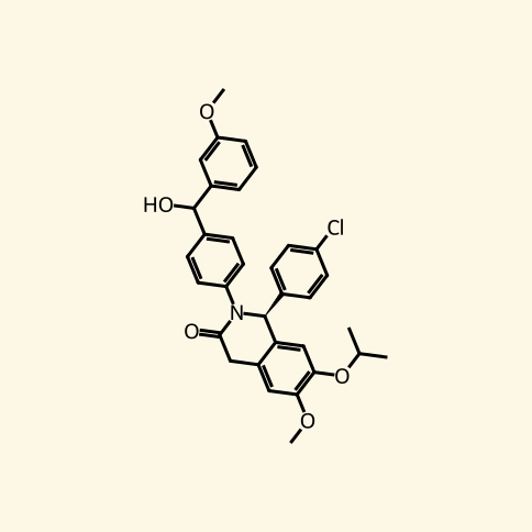 COc1cccc(C(O)c2ccc(N3C(=O)Cc4cc(OC)c(OC(C)C)cc4[C@@H]3c3ccc(Cl)cc3)cc2)c1